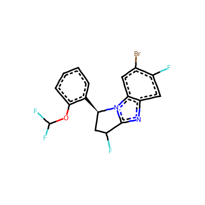 Fc1cc2nc3n(c2cc1Br)[C@H](c1ccccc1OC(F)F)CC3F